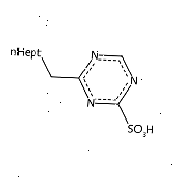 CCCCCCCCc1ncnc(S(=O)(=O)O)n1